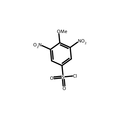 COc1c([N+](=O)[O-])cc(S(=O)(=O)Cl)cc1[N+](=O)[O-]